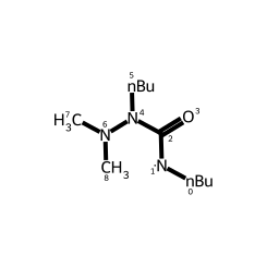 CCCC[N]C(=O)N(CCCC)N(C)C